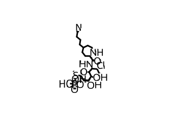 CSC1OC(C(NC(=O)C2CCC(CCCC#N)CCN2)C(C)Cl)C(O)C(O)C1OP(=O)(O)O